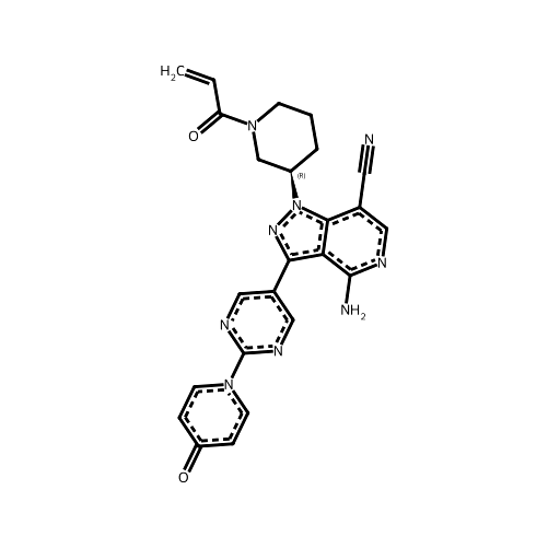 C=CC(=O)N1CCC[C@@H](n2nc(-c3cnc(-n4ccc(=O)cc4)nc3)c3c(N)ncc(C#N)c32)C1